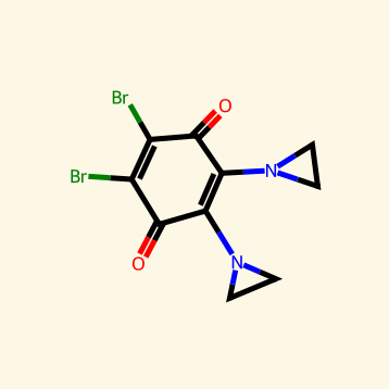 O=C1C(Br)=C(Br)C(=O)C(N2CC2)=C1N1CC1